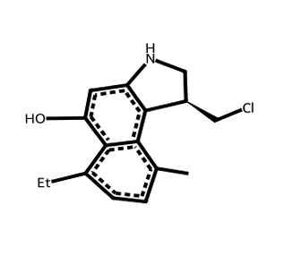 CCc1ccc(C)c2c3c(cc(O)c12)NC[C@H]3CCl